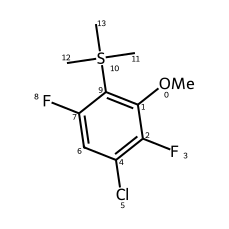 COc1c(F)c(Cl)cc(F)c1S(C)(C)C